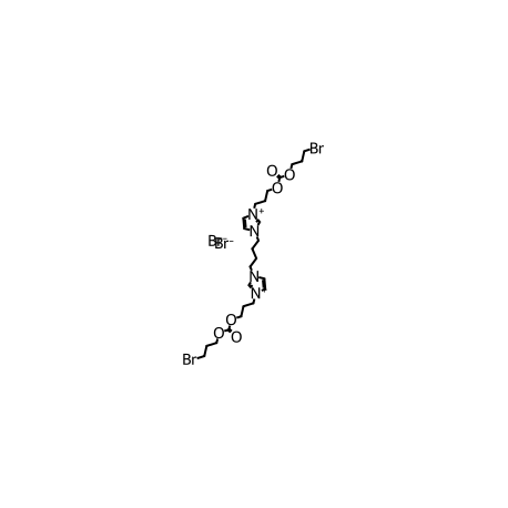 O=C(OCCCBr)OCCC[n+]1ccn(CCCCn2cc[n+](CCCOC(=O)OCCCBr)c2)c1.[Br-].[Br-]